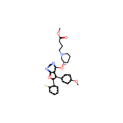 COC(=O)CCCN1CCC[C@@H](Oc2ncnc3oc(-c4ccccc4F)c(-c4ccc(OC)cc4)c23)C1